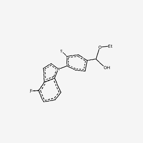 CCOC(O)c1ccc(-n2ccc3c(F)cccc32)c(F)c1